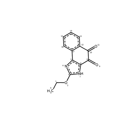 CCOc1nc2c([nH]1)C(=O)C(=O)c1ccccc1-2